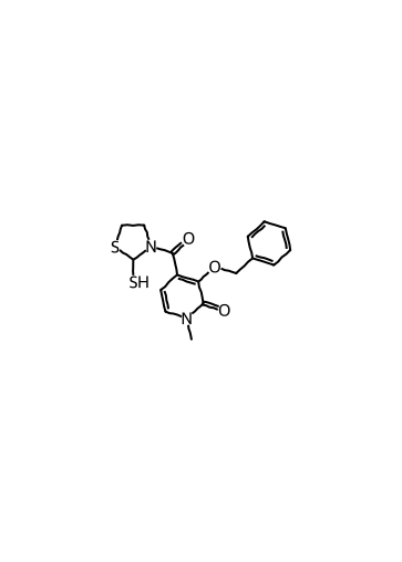 Cn1ccc(C(=O)N2CCSC2S)c(OCc2ccccc2)c1=O